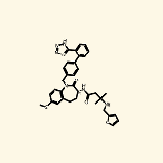 CSc1ccc2c(c1)CC[C@@H](NC(=O)CC(C)(C)NCc1ccco1)C(=O)N2Cc1ccc(-c2ccccc2-c2nnn[nH]2)cc1